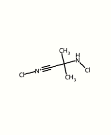 CC(C)(C#[N+]Cl)NCl